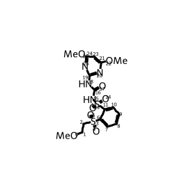 COCCS(=O)(=O)c1ccccc1S(=O)(=O)NC(=O)Nc1nc(OC)cc(OC)n1